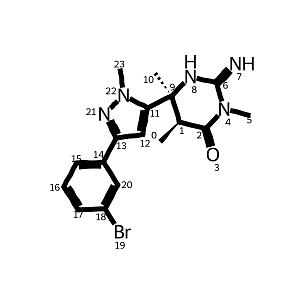 C[C@@H]1C(=O)N(C)C(=N)N[C@]1(C)c1cc(-c2cccc(Br)c2)nn1C